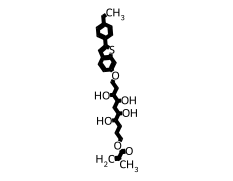 C=C(C)C(=O)OCCCC(O)C(O)CC(O)C(O)CCOc1ccc2cc(-c3ccc(CC)cc3)sc2c1